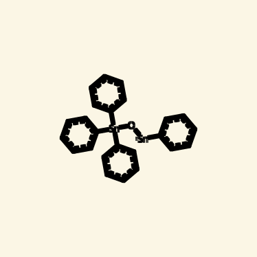 c1cc[c]([Sn][O][Sn]([c]2ccccc2)([c]2ccccc2)[c]2ccccc2)cc1